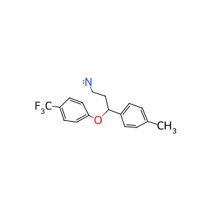 Cc1ccc(C(CC[N])Oc2ccc(C(F)(F)F)cc2)cc1